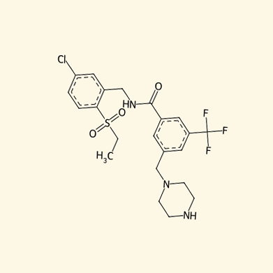 CCS(=O)(=O)c1ccc(Cl)cc1CNC(=O)c1cc(CN2CCNCC2)cc(C(F)(F)F)c1